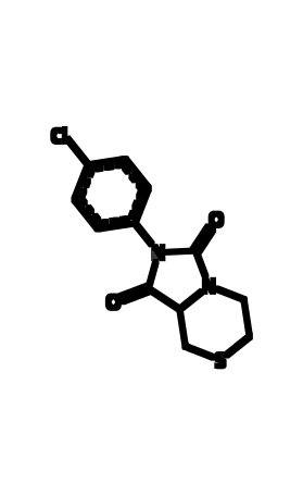 O=C1C2CSCCN2C(=O)N1c1ccc(Cl)cc1